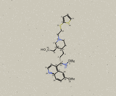 CON[C@@H](CC[C@@H]1CCN(CCSc2cccs2)C[C@@H]1CC(=O)O)c1ccnc2ccc(OC)cc12